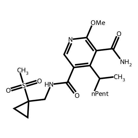 CCCCCC(C)c1c(C(=O)NCC2(S(C)(=O)=O)CC2)cnc(OC)c1C(N)=O